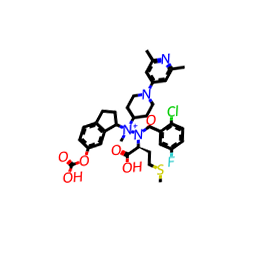 CSCC[C@@H](C(=O)O)N(C(=O)c1cc(F)ccc1Cl)[N+](C)(C1CCN(c2cc(C)nc(C)c2)CC1)C1CCc2ccc(OC(=O)O)cc21